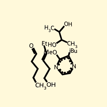 CC(O)C(C)O.CCC(C)c1nccnc1OC.CCC=CCCO.CCCCC=O